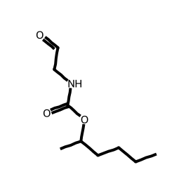 CCCCC(C)OC(=O)NCC=O